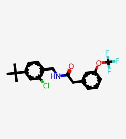 CC(C)(C)c1ccc(CNC(=O)Cc2cccc(OC(F)(F)F)c2)c(Cl)c1